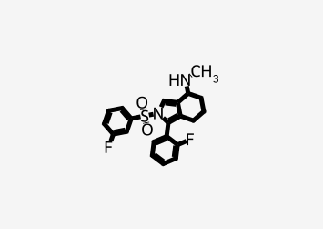 CNC1CCCc2c1cn(S(=O)(=O)c1cccc(F)c1)c2-c1ccccc1F